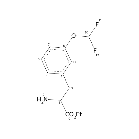 CCOC(=O)C(N)Cc1cccc(OC(F)F)c1